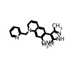 COc1cc2c(cc1-c1c(C)n[nH]c1C)C=CCN2Cc1ccccn1